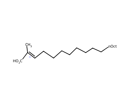 CCCCCCCCCCCCCCCC/C=C(\C)C(=O)O